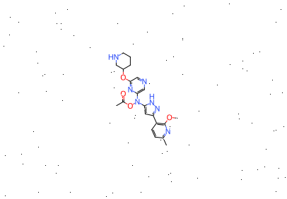 COc1nc(C)ccc1-c1cc(N(OC(C)=O)c2cncc(OC3CCCNC3)n2)[nH]n1